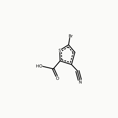 N#Cc1cc(Br)sc1C(=O)O